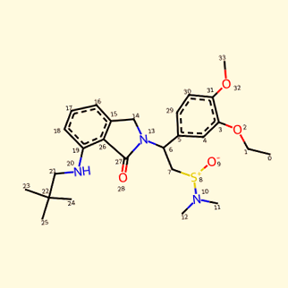 CCOc1cc(C(C[S+]([O-])N(C)C)N2Cc3cccc(NCC(C)(C)C)c3C2=O)ccc1OC